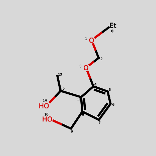 CCOCOc1cccc(CO)c1C(C)O